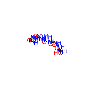 CB(O)Nc1cc(C(=O)Nc2cc(C(=O)Nc3cc(C(=O)NCCCNC(=O)c4cc(NC(=O)c5cc(NC(=O)c6cc(C(=N)B=O)cn6C)cn5C)cn4C)n(C)c3)n(C)c2)n(C)c1